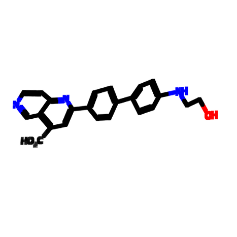 O=C(O)c1cc(-c2ccc(-c3ccc(NCCO)cc3)cc2)nc2ccncc12